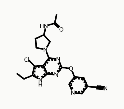 CCc1[nH]c2nc(Oc3cncc(C#N)c3)nc(N3CCC(NC(C)=O)C3)c2c1Cl